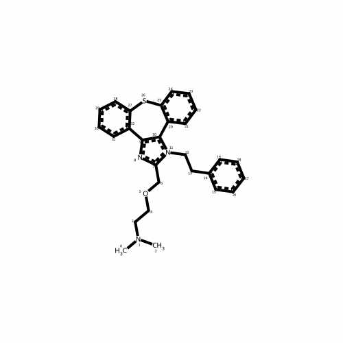 CN(C)CCOCc1nc2c(n1CCc1ccccc1)-c1ccccc1Sc1ccccc1-2